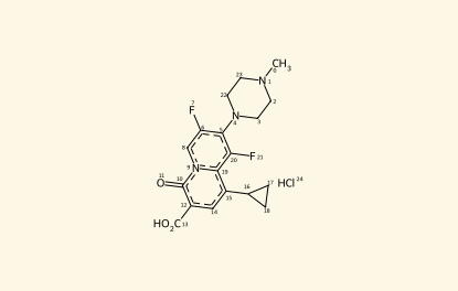 CN1CCN(c2c(F)cn3c(=O)c(C(=O)O)cc(C4CC4)c3c2F)CC1.Cl